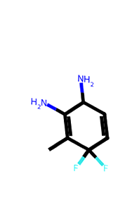 CC1=C(N)C(N)C=CC1(F)F